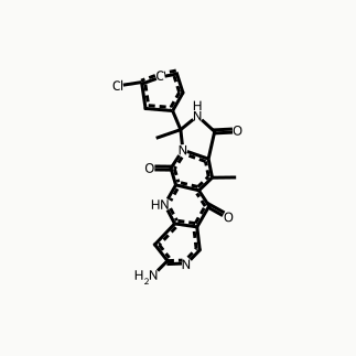 Cc1c2n(c(=O)c3[nH]c4cc(N)ncc4c(=O)c13)C(C)(c1cccc(Cl)c1)NC2=O